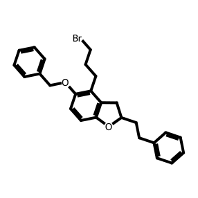 BrCCCc1c(OCc2ccccc2)ccc2c1CC(CCc1ccccc1)O2